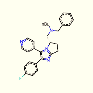 CCCCN(Cc1ccccc1)C[C@@H]1CCc2nc(-c3ccc(F)cc3)c(-c3ccncc3)n21